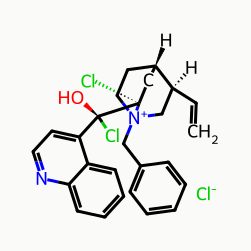 C=C[C@H]1C[N+]2(Cc3ccccc3)CC[C@H]1C[C@]2(Cl)[C@](O)(Cl)c1ccnc2ccccc12.[Cl-]